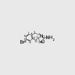 NC1=N[C@@]2(CCc3ccc(Br)cc3C2)CO1